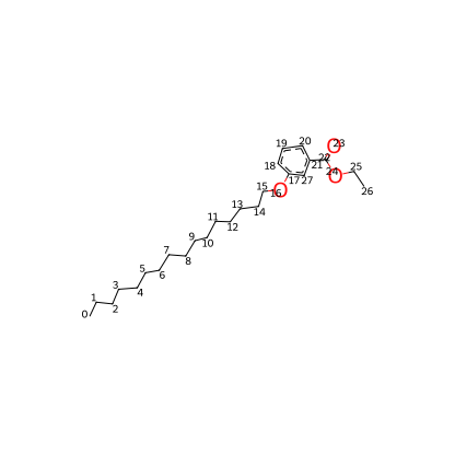 CCCCCCCCCCCCCCCCOc1cccc(C(=O)OCC)c1